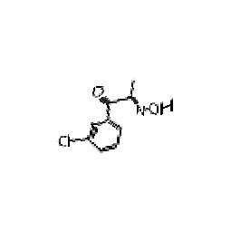 CC(=NO)C(=O)c1cccc(Cl)c1